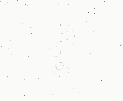 CN(C)c1c(I)c(N)c(O)c2c1CC1CC3[C@H](N(C)C)C(O)=C(C(N)=O)C(=O)C3(O)C(O)=C1C2=O.I